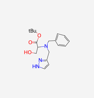 CC(C)(C)OC(=O)C(CO)N(Cc1ccccc1)Cc1cc[nH]n1